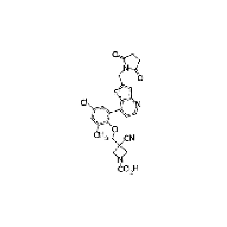 Cc1cc(Cl)cc(-c2ccnc3cc(CN4C(=O)CCC4=O)sc23)c1OCC1(C#N)CN(C(=O)O)C1